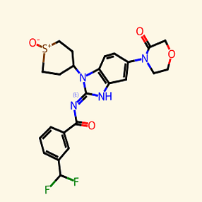 O=C(/N=c1\[nH]c2cc(N3CCOCC3=O)ccc2n1C1CC[S+]([O-])CC1)c1cccc(C(F)F)c1